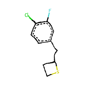 Fc1cc(CC2CCS2)ccc1Cl